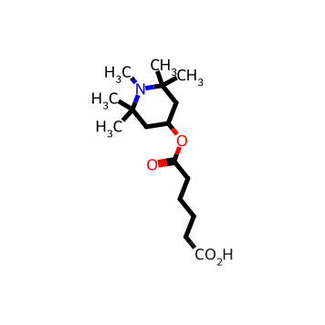 CN1C(C)(C)CC(OC(=O)CCCCC(=O)O)CC1(C)C